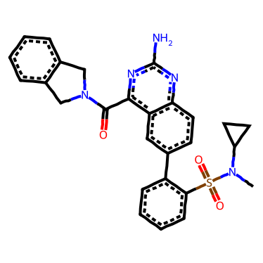 CN(C1CC1)S(=O)(=O)c1ccccc1-c1ccc2nc(N)nc(C(=O)N3Cc4ccccc4C3)c2c1